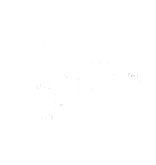 C=C(CN)CC1(N(Cc2ccccc2)C(=O)O)CC1.Cl